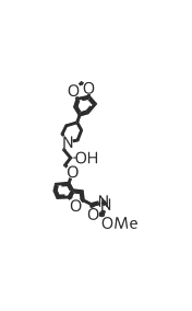 COc1nnc(-c2cc3c(OC[C@@H](O)CN4CCC(c5ccc6c(c5)OCO6)CC4)cccc3o2)o1